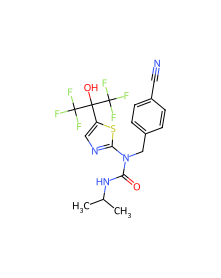 CC(C)NC(=O)N(Cc1ccc(C#N)cc1)c1ncc(C(O)(C(F)(F)F)C(F)(F)F)s1